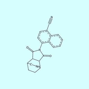 N#Cc1ccc(N2C(=O)C3C4CCC(NC4)C3C2=O)c2ccccc12